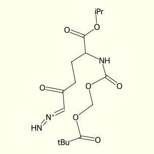 CC(C)OC(=O)C(CCC(=O)C=[N+]=N)NC(=O)OCOC(=O)C(C)(C)C